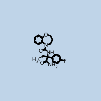 CCC(NC(=O)N1CCCOc2ccccc21)(C(N)=O)c1ccc(F)cc1